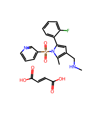 CNCc1cc(-c2ccccc2F)n(S(=O)(=O)c2cccnc2)c1C.O=C(O)C=CC(=O)O